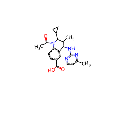 CC(=O)N1c2ccc(C(=O)O)cc2C(Nc2nccc(C)n2)C(C)C1C1CC1